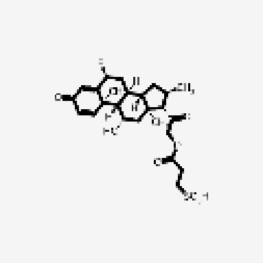 C[C@@H]1C[C@H]2[C@@H]3C[C@H](F)C4=CC(=O)C=C[C@]4(C)[C@H]3[C@@H](O)C[C@]2(C)[C@H]1C(=O)COC(=O)CCS(=O)(=O)O